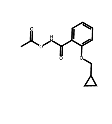 CC(=O)ONC(=O)c1ccccc1OCC1CC1